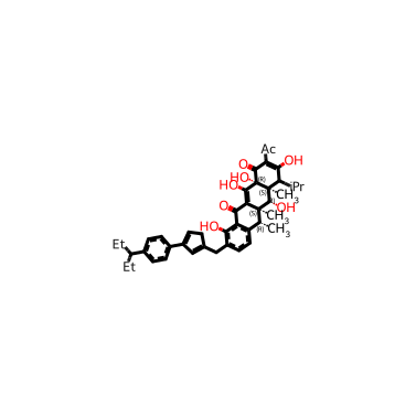 CCC(CC)c1ccc(C2=CCC(Cc3ccc4c(c3O)C(=O)C3=C(O)[C@@]5(O)C(=O)C(C(C)=O)=C(O)C(C(C)C)[C@@]5(C)[C@H](O)[C@@]3(C)[C@@H]4C)=C2)cc1